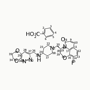 O=C(O)c1ccccc1.O=c1ccc2ccc(F)c3c2n1[C@H](CN1CCC(NCc2cc4c(nn2)OCCO4)CC1)CO3